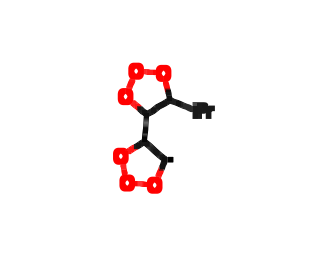 CC(C)C1OOOC1C1[CH]OOO1